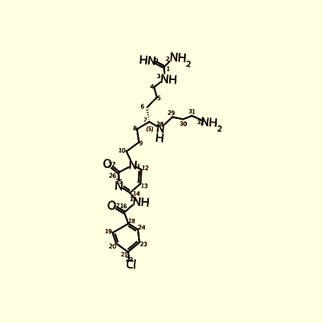 N=C(N)NCCC[C@@H](CCCn1ccc(NC(=O)c2ccc(Cl)cc2)nc1=O)NCCCN